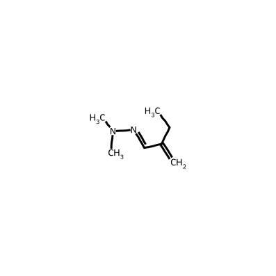 C=C(C=NN(C)C)CC